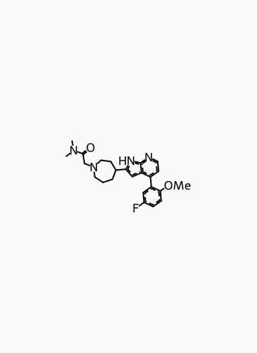 COc1ccc(F)cc1-c1ccnc2[nH]c(C3CCCN(CC(=O)N(C)C)CC3)cc12